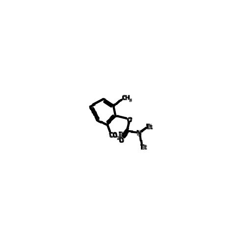 CCOC(=O)c1cccc(C)c1OC(=O)N(CC)CC